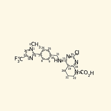 Cn1cc(C(F)(F)F)nc1-c1ccc(CNc2nc(Cl)nc3c2CCCN3C(=O)O)cc1